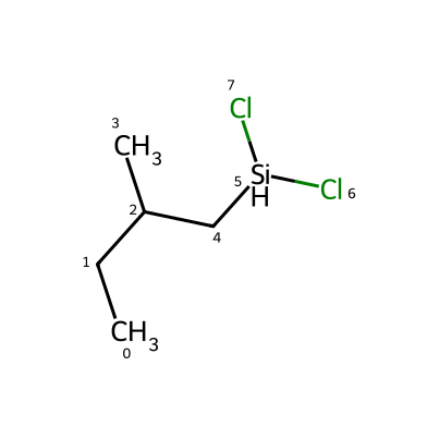 CCC(C)C[SiH](Cl)Cl